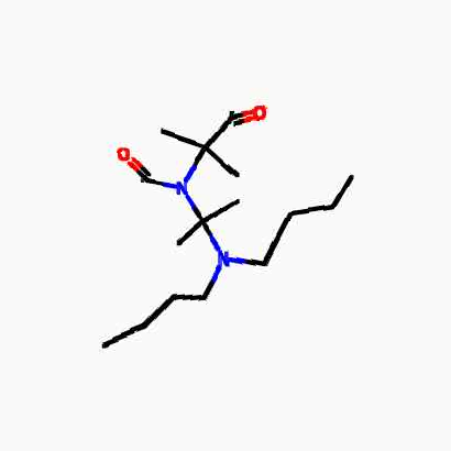 CCCCN(CCCC)C(C)(C)N([C]=O)C(C)(C)[C]=O